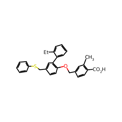 CCc1ccccc1-c1cc(CSc2ccccc2)ccc1OCc1ccc(C(=O)O)c(C)c1